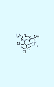 CCc1c(C(=O)O)sc2nc(N)nc(-c3c(Cl)cc(Cl)c4c3CCO4)c12